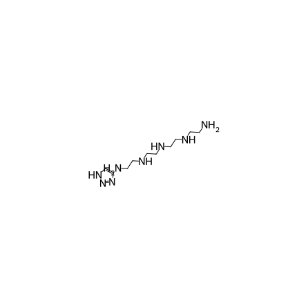 NCCNCCNCCNCCN.c1c[nH]nn1